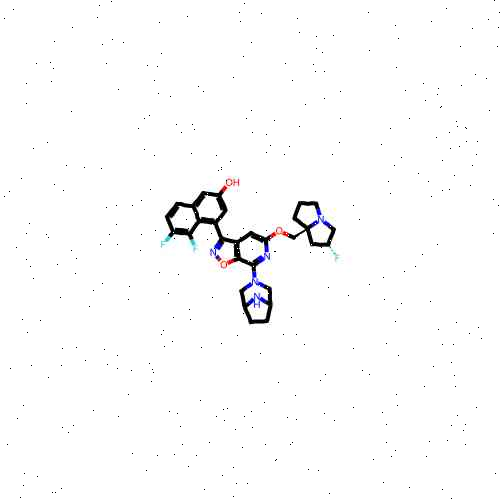 Oc1cc(-c2noc3c(N4CC5CCC(C4)N5)nc(OC[C@@]45CCCN4C[C@H](F)C5)cc23)c2c(F)c(F)ccc2c1